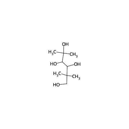 CC(C)(O)C(O)C(O)C(C)(C)CO